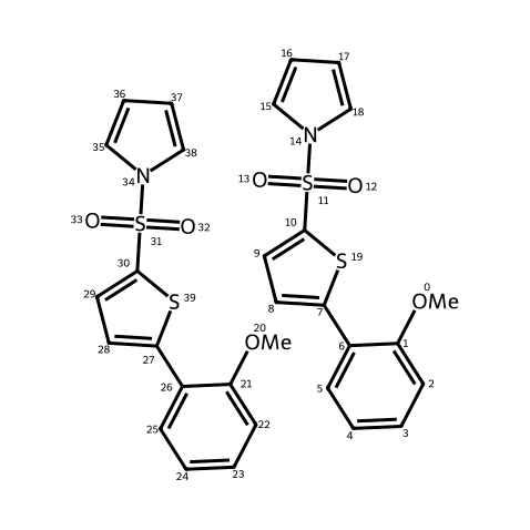 COc1ccccc1-c1ccc(S(=O)(=O)n2cccc2)s1.COc1ccccc1-c1ccc(S(=O)(=O)n2cccc2)s1